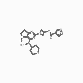 CN(c1nc(N2CC(OC(=O)c3cnsc3)C2)nc2c1[S+]([O-])CC2)C1CCOCC1